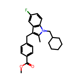 COC(=O)c1ccc(Cc2c(C)n(CC3CCCCC3)c3ccc(F)cc23)cc1